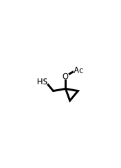 CC(=O)OC1(CS)CC1